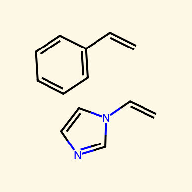 C=Cc1ccccc1.C=Cn1ccnc1